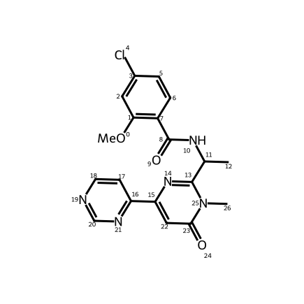 COc1cc(Cl)ccc1C(=O)NC(C)c1nc(-c2ccncn2)cc(=O)n1C